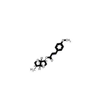 COc1ccc(/C=C/C(=O)O[C@@H]2CO[C@H]3[C@@H]2OC[C@H]3C)cc1